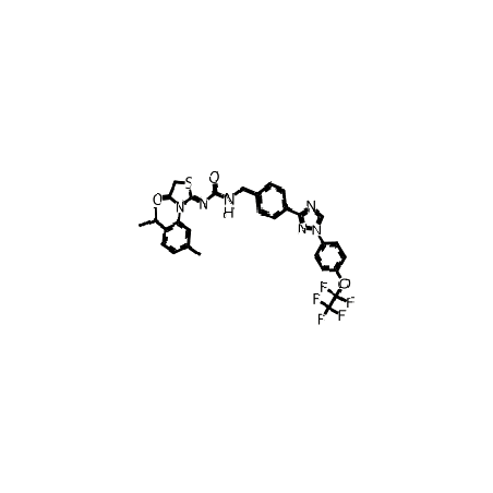 Cc1ccc(C(C)C)c(N2C(=O)CS/C2=N\C(=O)NCc2ccc(-c3ncn(-c4ccc(OC(F)(F)C(F)(F)F)cc4)n3)cc2)c1